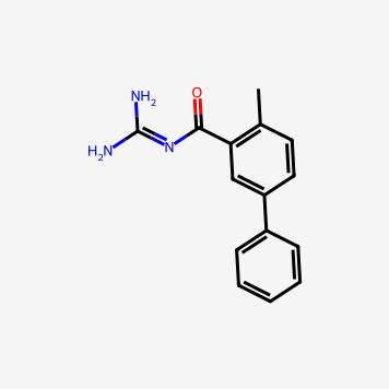 Cc1ccc(-c2ccccc2)cc1C(=O)N=C(N)N